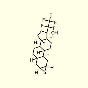 C[C@]12C[C@H]3S[C@H]3C[C@@H]1CC[C@@H]1[C@@H]2CC[C@@]2(C)[C@H]1CC[C@@]2(O)C(F)(F)C(F)(F)F